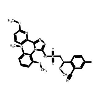 COc1cccc(-c2nnc(NS(=O)(=O)C[C@H](OC)c3ccc(F)cc3C#N)n2-c2c(OC)cccc2OC)n1